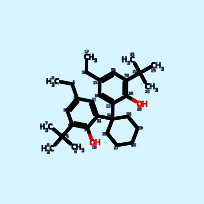 CCc1cc(C(C)(C)C)c(O)c(C2(c3cc(CC)cc(C(C)(C)C)c3O)CCCCC2)c1